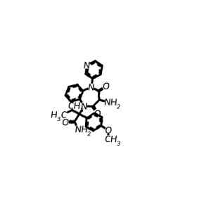 COc1ccc(C(C(N)=O)(C(C)C)N2C(=O)C(N)C(=O)N(c3cccnc3)c3ccccc32)cc1